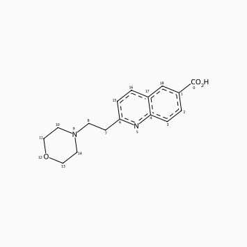 O=C(O)c1ccc2nc(CCN3CCOCC3)ccc2c1